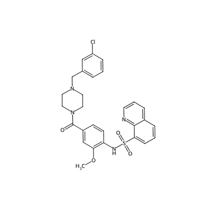 COc1cc(C(=O)N2CCN(Cc3cccc(Cl)c3)CC2)ccc1NS(=O)(=O)c1cccc2cccnc12